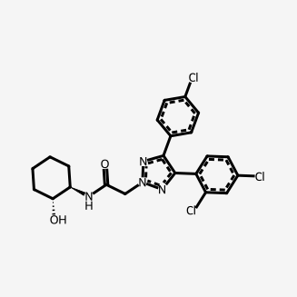 O=C(Cn1nc(-c2ccc(Cl)cc2)c(-c2ccc(Cl)cc2Cl)n1)N[C@@H]1CCCC[C@H]1O